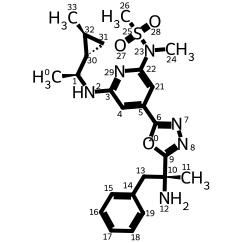 C[C@H](Nc1cc(-c2nnc([C@](C)(N)Cc3ccccc3)o2)cc(N(C)S(C)(=O)=O)n1)[C@H]1C[C@@H]1C